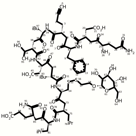 C#CCC[C@H](CC(=O)[C@H](Cc1ccccc1)NC(=O)[C@H](CC(=O)O)CC(=O)[C@@H](N)CCC(N)=O)C(=O)N[C@H](C(=O)C[C@H](C(=O)N[C@@H](CC(=O)O)C(=O)C[C@H](C(=O)N[C@@H](CSSCCO[C@H]1OC(CO)[C@@H](O)[C@H](O)C1O)C(=O)C[C@@H](CC(C)C)C(=O)N[C@@H](CC(C)C)C(=O)C[C@@H](CCC(=O)O)C(N)=O)C(C)CC)C(C)O)C(C)CC